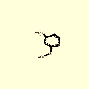 CC(C)(C)Sc1cc(C(=O)O)ccn1